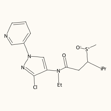 CCN(C(=O)CC(C(C)C)[S+](C)[O-])c1cn(-c2cccnc2)nc1Cl